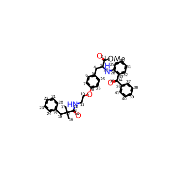 COC(=O)C(Cc1ccc(OCCNC(=O)C(C)(C)Cc2ccccc2)cc1)Nc1ccccc1C(=O)c1ccccc1